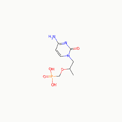 CC(Cn1ccc(N)nc1=O)OCP(=O)(O)O